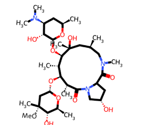 CO[C@]1(C)C[C@H](O[C@H]2[C@H](C)[C@@H](O[C@@H]3O[C@H](C)C[C@H](N(C)C)[C@H]3O)[C@](C)(O)C[C@@H](C)CN(C)C(=O)C3C[C@H](O)CN3C(=O)[C@@H]2C)O[C@@H](C)[C@@H]1O